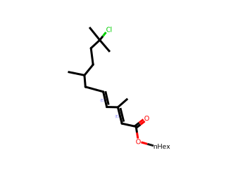 CCCCCCOC(=O)/C=C(C)/C=C/CC(C)CCC(C)(C)Cl